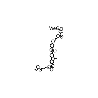 C=CC(=O)OCCCCOC(=O)Oc1ccc2c(c1)C(C)c1cc(C(=O)Oc3ccc(OCCCOC(=O)C(=C)CC(=O)OC)cc3)ccc1-2